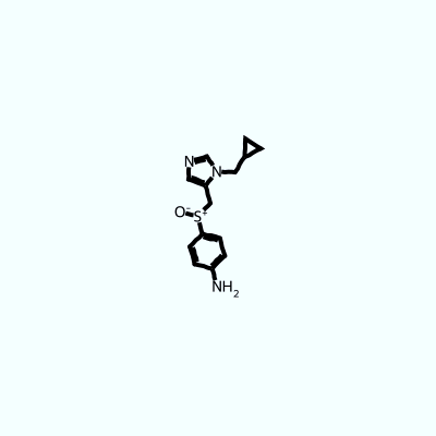 Nc1ccc([S+]([O-])Cc2cncn2CC2CC2)cc1